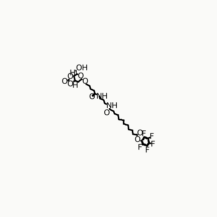 O=C(CCCCCCCCCCC(=O)Oc1c(F)c(F)c(F)c(F)c1F)NCCCNC(=O)CCCCO[C@H]1C[C@H]2OC(=O)O[C@H]2[C@@H](CO)O1